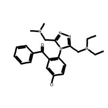 CCN(CC)Cc1nnc(CN(C)C)n1-c1ccc(Cl)cc1C(=O)c1ccccc1